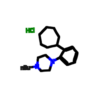 CCCCN1CCN(c2ccccc2C2CCCCCC2)CC1.Cl